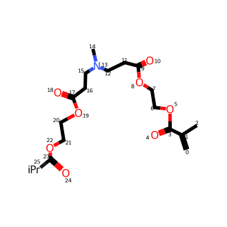 C=C(C)C(=O)OCCOC(=O)CCN(C)CCC(=O)OCCOC(=O)C(C)C